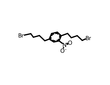 O=[N+]([O-])c1cc(CCCCBr)ccc1CCCCBr